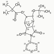 CC(C)(C)OC1C(OC(=O)C(C)(C)C)C2OC1C1C(=O)N(c3ccccc3)C(=O)C21